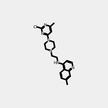 Cc1ccc2c(NCCN3CCN(c4cc(C)nc(Cl)n4)CC3)ccnc2c1